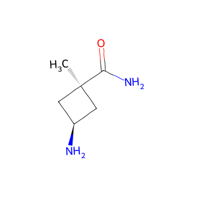 C[C@]1(C(N)=O)C[C@@H](N)C1